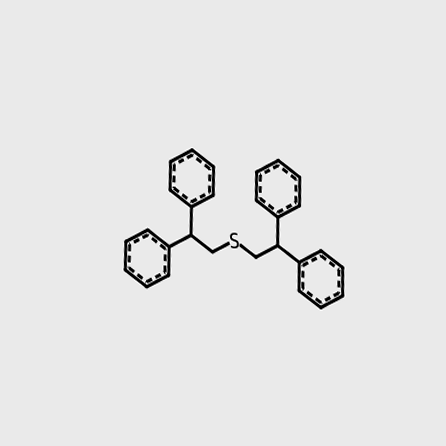 c1ccc(C(CSCC(c2ccccc2)c2ccccc2)c2ccccc2)cc1